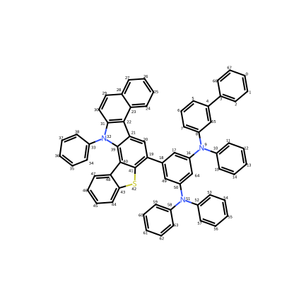 c1ccc(-c2cccc(N(c3ccccc3)c3cc(-c4cc5c6c7ccccc7ccc6n(-c6ccccc6)c5c5c4sc4ccccc45)cc(N(c4ccccc4)c4ccccc4)c3)c2)cc1